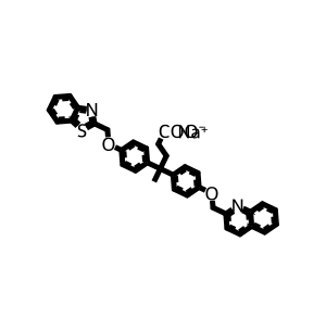 CC(CCC(=O)[O-])(c1ccc(OCc2ccc3ccccc3n2)cc1)c1ccc(OCc2nc3ccccc3s2)cc1.[Na+]